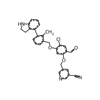 Cc1c(COc2cc(OCc3cncc(C#N)c3)c(C=O)cc2Cl)cccc1-c1cccc2c1CCN2